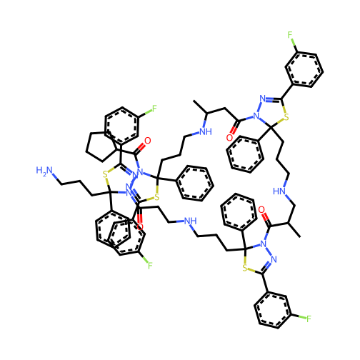 CC(CC(=O)N1N=C(c2cccc(F)c2)SC1(CCCNCC(C)C(=O)N1N=C(c2cccc(F)c2)SC1(CCCNCCC(=O)N1N=C(c2cccc(F)c2)SC1(CCCN)c1ccccc1)c1ccccc1)c1ccccc1)NCCCC1(c2ccccc2)SC(c2cccc(F)c2)=NN1C(=O)C1CCCC1